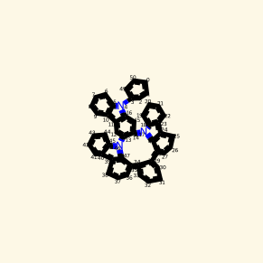 c1ccc(-n2c3ccccc3c3cc4c(cc32)n2c3ccccc3c3cccc(c5ccccc5c5cccc6c7ccccc7n4c56)c32)cc1